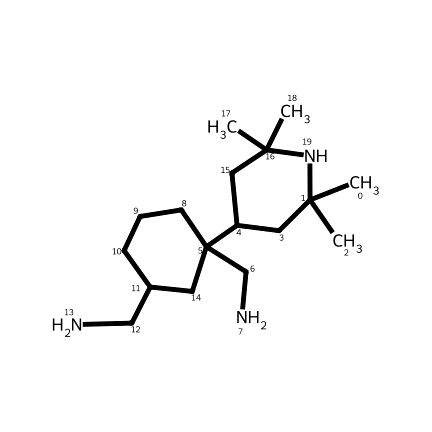 CC1(C)CC(C2(CN)CCCC(CN)C2)CC(C)(C)N1